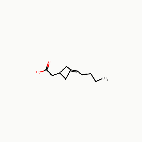 CCCCC=C1CC(CC(=O)O)C1